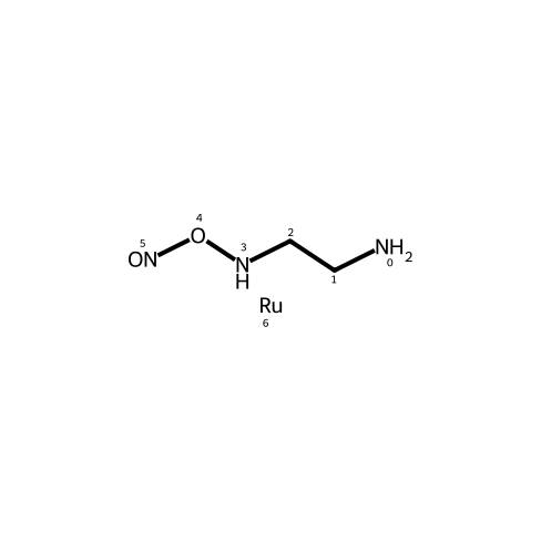 NCCNON=O.[Ru]